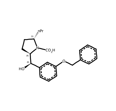 CCC[C@H]1CC[C@H]([C@H](O)c2cccc(OCc3ccccc3)c2)N1C(=O)O